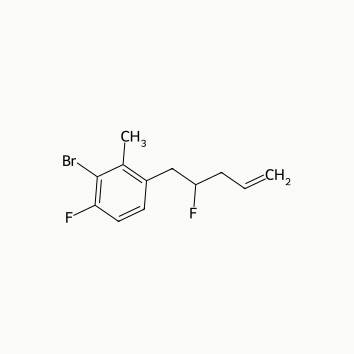 C=CCC(F)Cc1ccc(F)c(Br)c1C